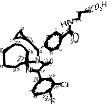 O=C(O)CCNC(=O)c1ccc([C@@H](C2CC2)N2C(=O)C(c3ccc(F)c(Cl)c3)=NC23CCCCC3)cc1